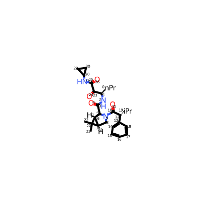 CCC[C@@H](NC(=O)C1[C@@H]2[C@H](CN1C(=O)[C@@H](c1ccccc1)C(C)C)C2(C)C)C(=O)C(=O)NC1CC1